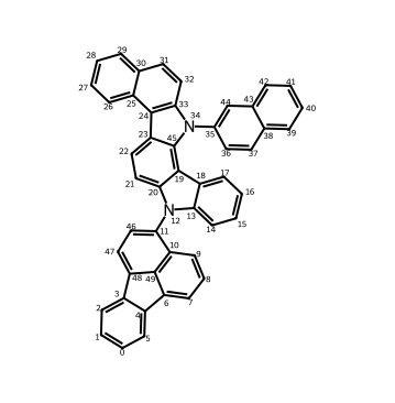 c1ccc2c(c1)-c1cccc3c(-n4c5ccccc5c5c4ccc4c6c7ccccc7ccc6n(-c6ccc7ccccc7c6)c45)ccc-2c13